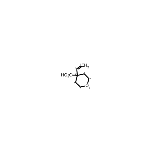 C=CC1(C(=O)O)CCOCC1